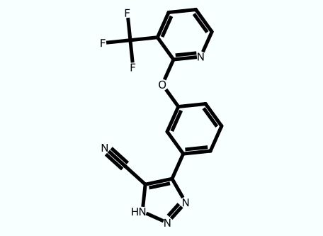 N#Cc1[nH]nnc1-c1cccc(Oc2ncccc2C(F)(F)F)c1